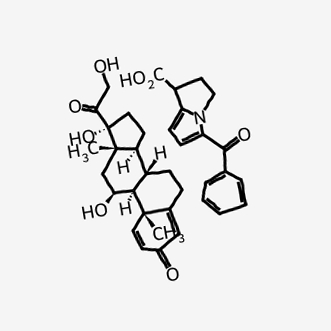 C[C@]12C=CC(=O)C=C1CC[C@@H]1[C@@H]2[C@@H](O)C[C@@]2(C)[C@H]1CC[C@]2(O)C(=O)CO.O=C(c1ccccc1)c1ccc2n1CCC2C(=O)O